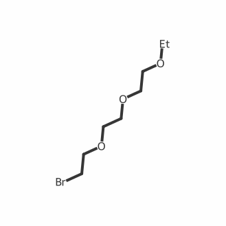 CCOCCOCCOCCBr